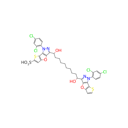 O=S(=O)(O)c1cc2oc3c(C(O)CCCCCCCCC(O)c4nn(-c5ccc(Cl)cc5Cl)c5c4oc4ccsc45)nn(-c4ccc(Cl)cc4Cl)c3c2s1